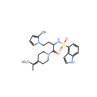 CC(C(=O)O)=C1CCN(C(=O)C(CCn2cccc2C#N)NS(=O)(=O)c2cccc3[nH]ccc23)CC1